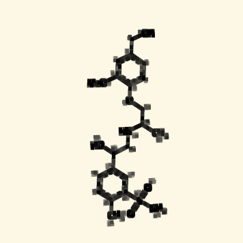 COc1cc(CO)ccc1OCC(C)NCC(O)c1ccc(C)c(S(N)(=O)=O)c1